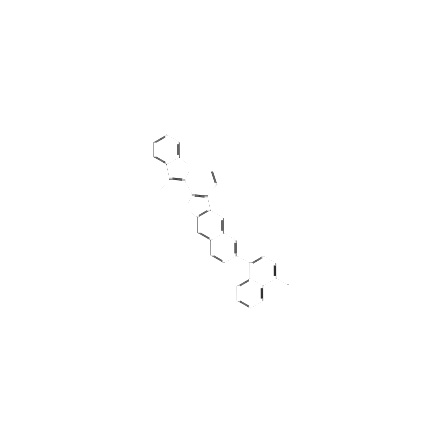 C=Cc1c(-c2oc3ccccc3c2C)oc2cc3ccc(-c4ccc(I)c5ccccc45)cc3cc12